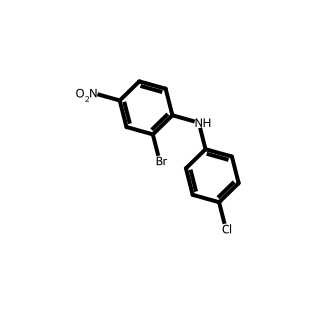 O=[N+]([O-])c1ccc(Nc2ccc(Cl)cc2)c(Br)c1